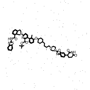 Cc1c(OC2CCC(CC[C@@H](C)CN3CCN(c4nc5ccc(C6CCC(=O)NC6=O)cc5o4)CC3)CC2)cccc1-c1ccc(N2CCc3cccc(C(=O)Nc4nc5ccccc5s4)c3C2)nc1C(=O)OC(C)(C)C